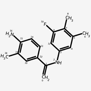 C=C(Nc1cc(C)c(C)c(F)c1)c1ccc(N)c(C)c1